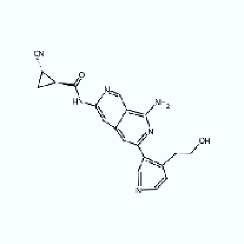 N#C[C@H]1C[C@@H]1C(=O)Nc1cc2cc(-c3cnccc3CCO)nc(N)c2cn1